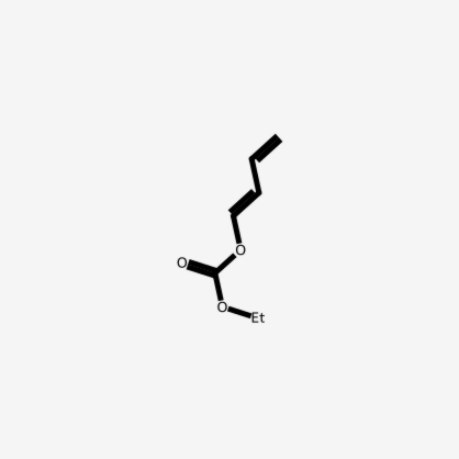 C=CC=COC(=O)OCC